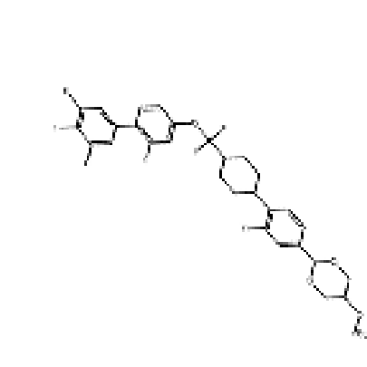 CCCCOC1COC(c2ccc(C3CCC(C(F)(F)Oc4ccc(-c5cc(F)c(F)c(F)c5)c(F)c4)CC3)c(F)c2)OC1